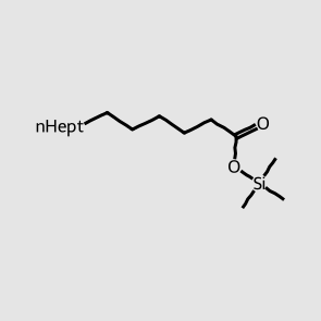 CCCCCCCCCCCCC(=O)O[Si](C)(C)C